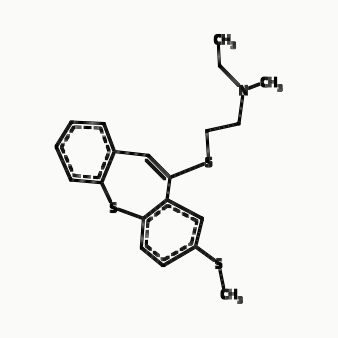 CCN(C)CCSC1=Cc2ccccc2Sc2ccc(SC)cc21